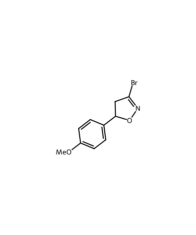 COc1ccc(C2CC(Br)=NO2)cc1